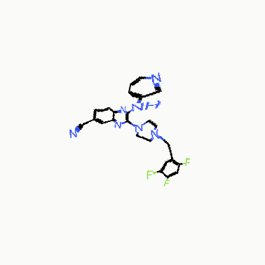 N#Cc1ccc2nc(Nc3cccnc3)c(N3CCN(Cc4cc(F)c(F)cc4F)CC3)nc2c1